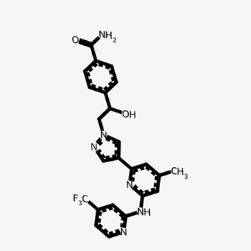 Cc1cc(Nc2cc(C(F)(F)F)ccn2)nc(-c2cnn(CC(O)c3ccc(C(N)=O)cc3)c2)c1